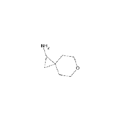 NC1CC12CCOCC2